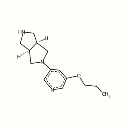 CCCOc1cncc(N2C[C@H]3CNC[C@H]3C2)c1